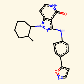 C[C@H]1CCCCC1n1nc(Nc2ccc(-c3ccno3)cc2)c2c(=O)[nH]ccc21